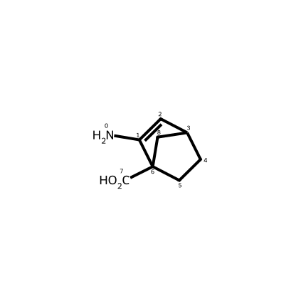 NC1=CC2CCC1(C(=O)O)C2